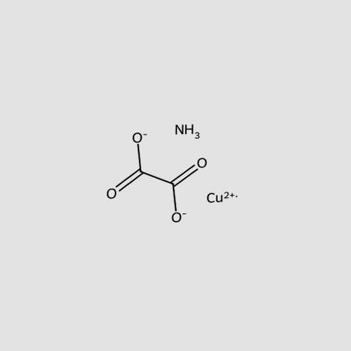 N.O=C([O-])C(=O)[O-].[Cu+2]